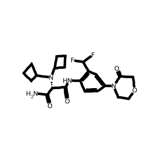 NC(=O)[C@@H](C(=O)Nc1ccc(N2CCOCC2=O)cc1C(F)F)N(C1CCC1)C1CCC1